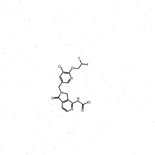 CCC(=O)Nc1nccc2c1CN(Cc1cnc(OCC(F)F)c(Cl)c1)C2=O